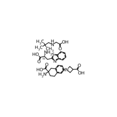 CC(C)(C)CNCC(=O)O.NC1(C(=O)O)CCc2ccccc2C1.N[C@@H](Cc1nc2ccccc2s1)C(=O)O.O=C(O)C1CNC1